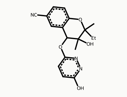 CCC1(C)Oc2ccc(C#N)cc2C(Oc2ccc(O)nn2)C1(C)O